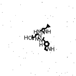 CC(Nc1nc(Nc2cc(C3CC3)[nH]n2)cc(C(C)(C)O)n1)c1ccc2[nH]ccc2c1